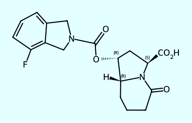 O=C(O)[C@@H]1C[C@@H](OC(=O)N2Cc3cccc(F)c3C2)[C@H]2CCCC(=O)N21